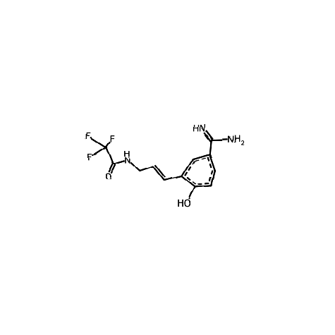 N=C(N)c1ccc(O)c(C=CCNC(=O)C(F)(F)F)c1